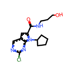 O=C(NCCCO)c1cc2cnc(Cl)nc2n1C1CCCC1